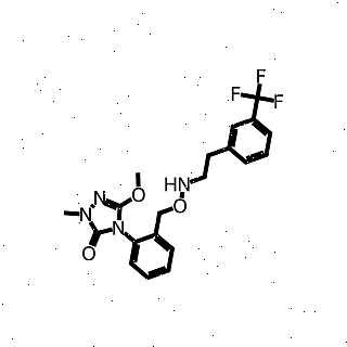 COc1nn(C)c(=O)n1-c1ccccc1CONCCc1cccc(C(F)(F)F)c1